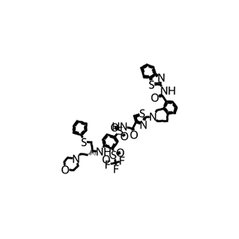 O=C(NS(=O)(=O)c1ccc(N[C@H](CCN2CCOCC2)CSc2ccccc2)c(S(=O)(=O)C(F)(F)F)c1)c1csc(N2CCc3cccc(C(=O)Nc4nc5ccccc5s4)c3C2)n1